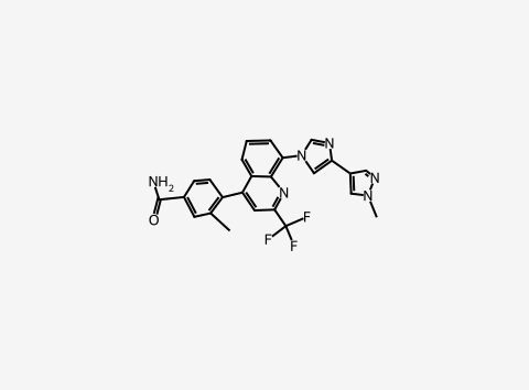 Cc1cc(C(N)=O)ccc1-c1cc(C(F)(F)F)nc2c(-n3cnc(-c4cnn(C)c4)c3)cccc12